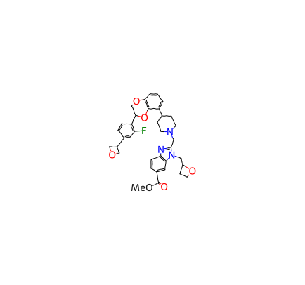 COC(=O)c1ccc2nc(CN3CCC(c4cccc5c4OC(c4ccc(C6COC6)cc4F)CO5)CC3)n(C[C@@H]3CCO3)c2c1